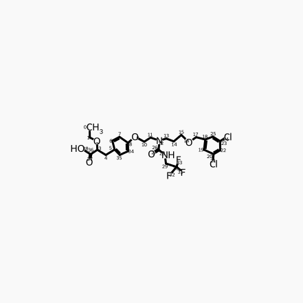 CCOC(Cc1ccc(OCCN(CCCOCc2cc(Cl)cc(Cl)c2)C(=O)NCC(F)(F)F)cc1)C(=O)O